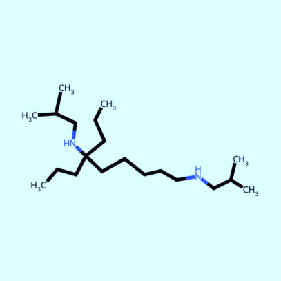 CCCC(CCC)(CCCCCNCC(C)C)NCC(C)C